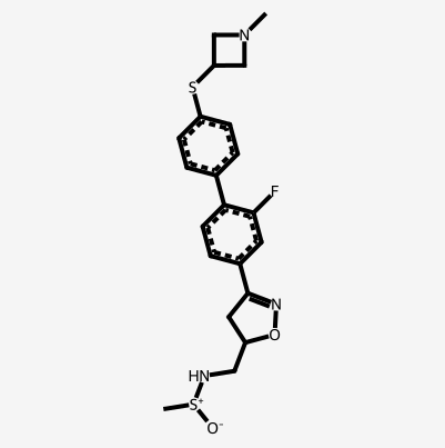 CN1CC(Sc2ccc(-c3ccc(C4=NOC(CN[S+](C)[O-])C4)cc3F)cc2)C1